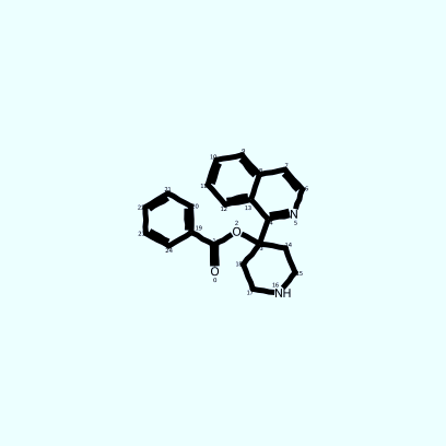 O=C(OC1(c2nccc3ccccc23)CCNCC1)c1ccccc1